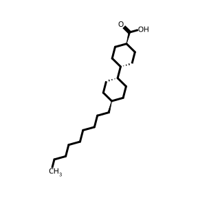 CCCCCCCCC[C@H]1CC[C@H]([C@H]2CC[C@H](C(=O)O)CC2)CC1